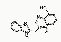 O=c1c2cccc(O)c2ncn1Cc1nc2ccccc2[nH]1